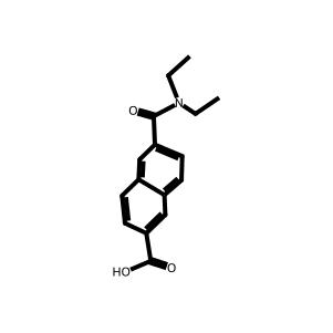 CCN(CC)C(=O)c1ccc2cc(C(=O)O)ccc2c1